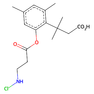 Cc1cc(C)c(C(C)(C)CC(=O)O)c(OC(=O)CCNCl)c1